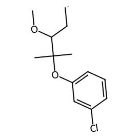 [CH2]CC(OC)C(C)(C)Oc1cccc(Cl)c1